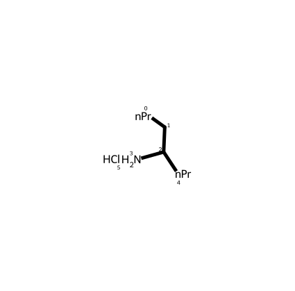 CCCCC(N)CCC.Cl